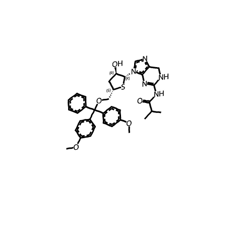 COc1ccc(C(OC[C@@H]2C[C@@H](O)[C@H](n3cnc4c3N=C(NC(=O)C(C)C)NC4)S2)(c2ccccc2)c2ccc(OC)cc2)cc1